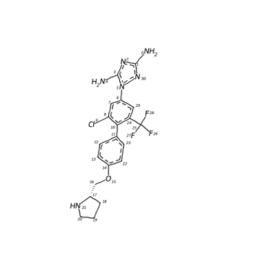 Nc1nc(N)n(-c2cc(Cl)c(-c3ccc(OC[C@@H]4CCCN4)cc3)c(C(F)(F)F)c2)n1